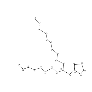 CCCCCCCCCCC(CCCCCCCC)CC1CCCC1